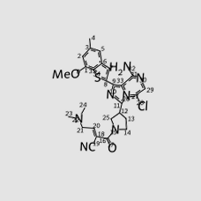 COc1cc(C)cc2cc(-c3nc(C4CCN(C(=O)C(C#N)=CCN(C)C)C4)n4c(Cl)cnc(N)c34)sc12